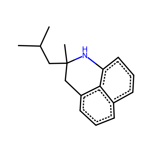 CC(C)CC1(C)Cc2cccc3cccc(c23)N1